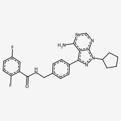 Nc1ncnc2c1c(-c1ccc(CNC(=O)c3cc(F)ccc3F)cc1)nn2C1CCCC1